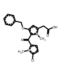 Cn1c(Cl)ccc1C(=O)c1c(OCc2ccccc2)cc(CC(=O)O)n1C